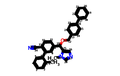 Cc1ccccc1-c1cc(C(OCc2ccc(-c3ccccc3)cc2)c2cncn2C)ccc1C#N